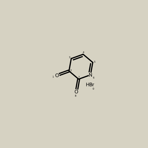 Br.O=C1C=CC=NC1=O